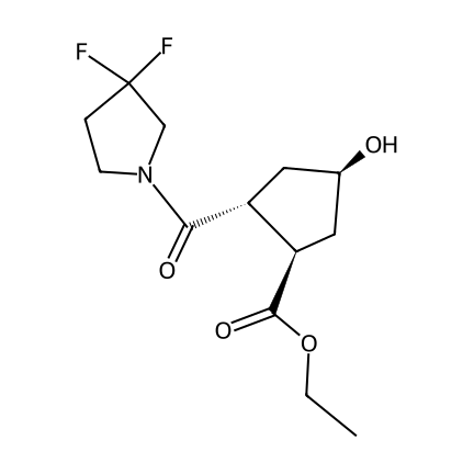 CCOC(=O)[C@@H]1C[C@H](O)C[C@H]1C(=O)N1CCC(F)(F)C1